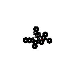 c1ccc(-c2ccc(-c3nc4c(nc3-n3c5ccccc5c5c6ccccc6c6c7cc8ccccc8cc7sc6c53)sc3ccccc34)c3ccccc23)cc1